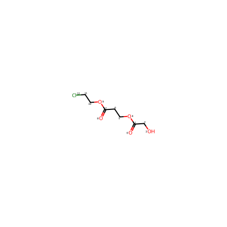 O=C(CO)OCCC(=O)OCCCl